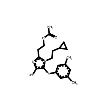 Cc1cc(C)cc(Sc2c(C(C)C)nc(CCOC(N)=O)n2CCC2CC2)c1